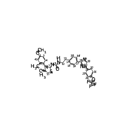 COc1ccc(N2/C(=N/C(=O)NCCc3ccc(-c4ncn(-c5ccc(OC(F)(F)F)cc5)n4)cc3)SCC2C)c(C)c1